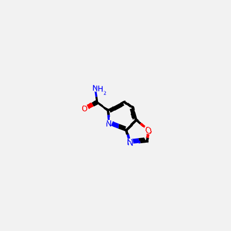 NC(=O)c1ccc2ocnc2n1